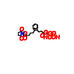 O=C(CCC1c2cccc(c2)C1CCCC(=O)ON1C(=O)CCC1=O)OCOP(=O)(O)O